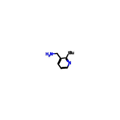 CC(C)(C)c1ncccc1CN